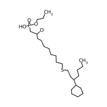 CCCCC(CCSCCCCCCCCC([O])CP(=O)(O)OCCC)C1CCCCC1